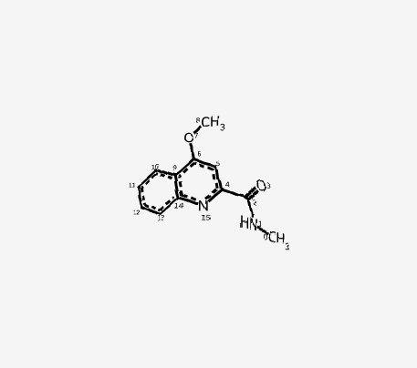 CNC(=O)c1cc(OC)c2ccccc2n1